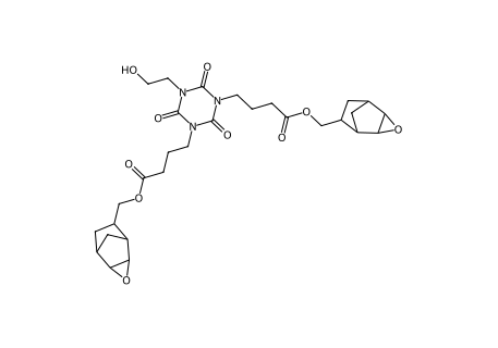 O=C(CCCn1c(=O)n(CCO)c(=O)n(CCCC(=O)OCC2CC3CC2C2OC32)c1=O)OCC1CC2CC1C1OC21